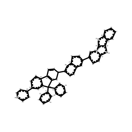 C1=CC(c2ccc3cc(-c4ccc5nc6c7ccccc7sc6n5c4)ccc3c2)CC2=C1c1ccc(-c3ccncc3)cc1C2(c1ccccc1)c1ccccc1